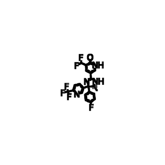 C[C@@H]1NC(c2c[nH]c(=O)c(C(F)F)c2)=NC1(c1ccc(F)cc1)c1ccc(C(F)(F)F)nc1